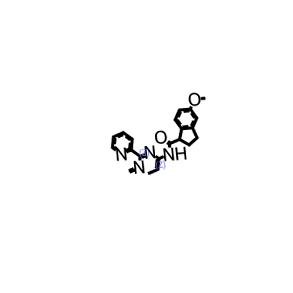 C=N/C(=N\C(=C/C)NC(=O)C1CCc2cc(OC)ccc21)c1ccccn1